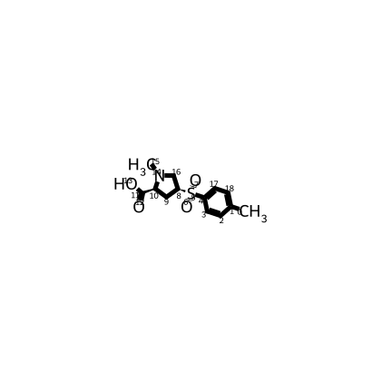 Cc1ccc(S(=O)(=O)[C@@H]2C[C@@H](C(=O)O)N(C)C2)cc1